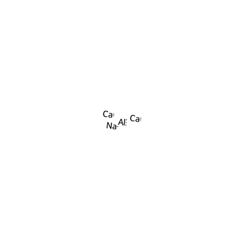 [Al].[Ca].[Ca].[Na]